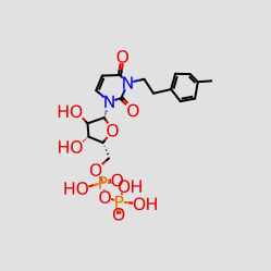 Cc1ccc(CCn2c(=O)ccn([C@@H]3O[C@H](COP(=O)(O)OP(=O)(O)O)[C@H](O)C3O)c2=O)cc1